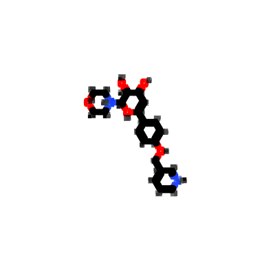 O=C1C=C(c2ccc(OCc3cccnc3)cc2)OC(N2CCOCC2)C1=O